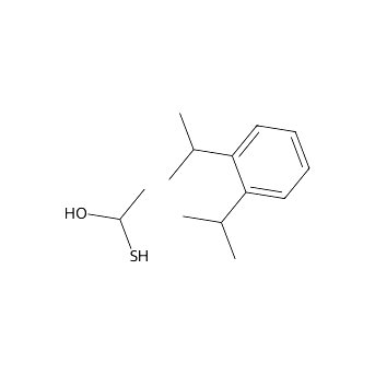 CC(C)c1ccccc1C(C)C.CC(O)S